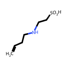 C=CCCNCCS(=O)(=O)O